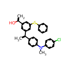 C=C(O)c1cc(Sc2ccccc2)cc(C(=C)c2ccc(N(C)c3ccc(Cl)cc3)cc2)c1